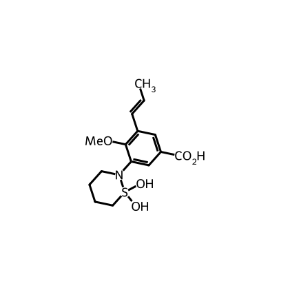 CC=Cc1cc(C(=O)O)cc(N2CCCCS2(O)O)c1OC